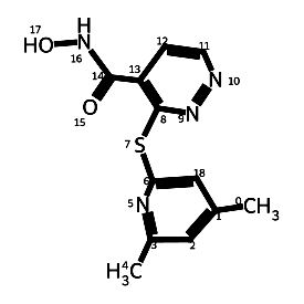 Cc1cc(C)nc(Sc2nnccc2C(=O)NO)c1